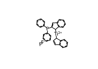 C1=C[CH]([Ti+2][CH]2C(P(c3ccccc3)c3ccccc3)=Cc3ccccc32)c2ccccc21.[F-].[F-]